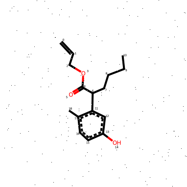 C=CCOC(=O)C(CCCC)c1cc(O)ccc1C